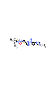 Cc1nc(NC(=O)c2ccc(-c3ccnc(Nc4cccc(CN5CCN(C)CC5)c4)n3)s2)sc1C